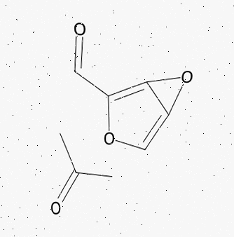 CC(C)=O.O=Cc1occ2c1O2